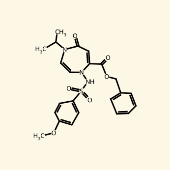 COc1ccc(S(=O)(=O)NN2C=CN(C(C)C)C(=O)C=C2C(=O)OCc2ccccc2)cc1